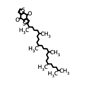 CC(C)CCCC(C)CCCC(C)CCCC(C)CCCC(C)CCCC(C)c1cc2c(s1)C(=O)c1ccsc1C2=O